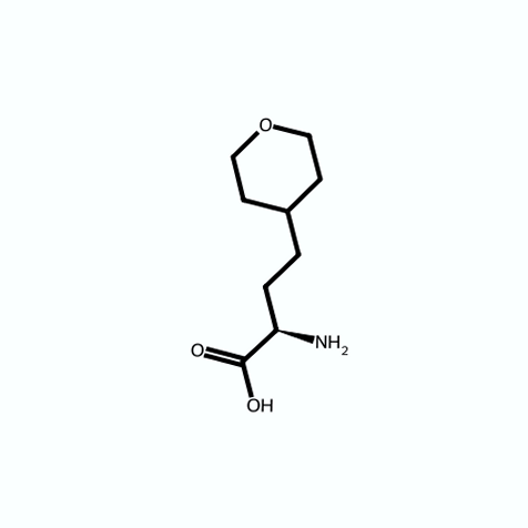 N[C@H](CCC1CCOCC1)C(=O)O